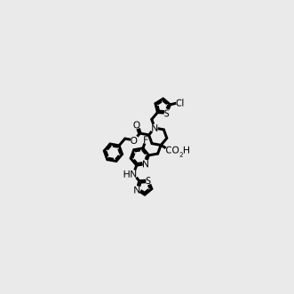 O=C(OCc1ccccc1)C1CC(Cc2nc(Nc3nccs3)ccc2F)(C(=O)O)CCN1Cc1ccc(Cl)s1